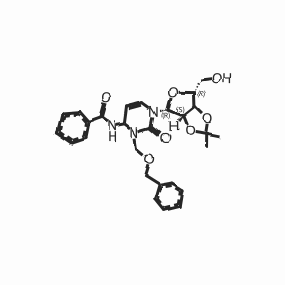 CC1(C)OC2[C@@H](CO)O[C@@H](N3C=CC(NC(=O)c4ccccc4)N(COCc4ccccc4)C3=O)[C@H]2O1